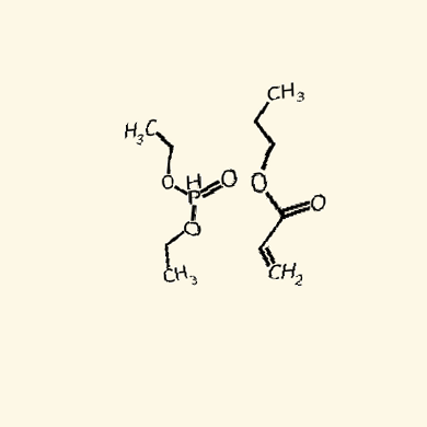 C=CC(=O)OCCC.CCO[PH](=O)OCC